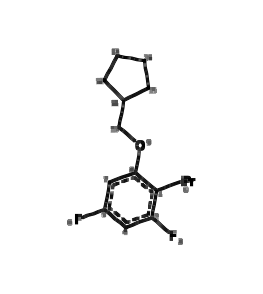 CC(C)c1c(F)cc(F)cc1OCC1CCCC1